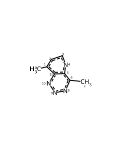 Cc1ccnc2c(C)nnnc12